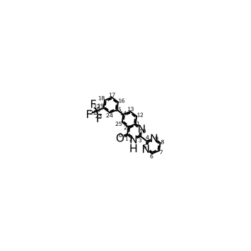 O=c1[nH]c(-c2ncccn2)nc2ccc(-c3cccc(C(F)(F)F)c3)cc12